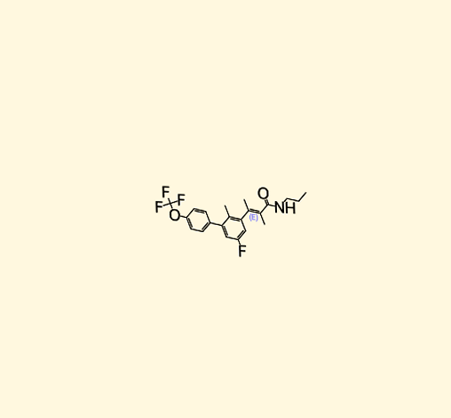 CCCNC(=O)/C(C)=C(\C)c1cc(F)cc(-c2ccc(OC(F)(F)F)cc2)c1C